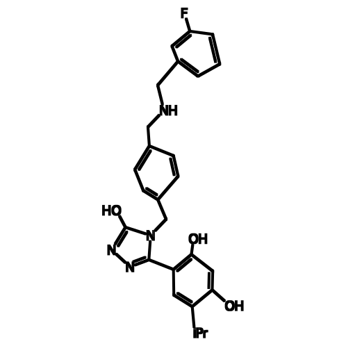 CC(C)c1cc(-c2nnc(O)n2Cc2ccc(CNCc3cccc(F)c3)cc2)c(O)cc1O